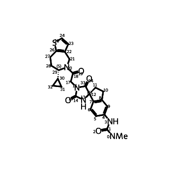 CNC(=O)Nc1ccc2c(c1)CC[C@]21NC(=O)N(CC(=O)N2Cc3ccsc3CC[C@H]2C2CC2)C1=O